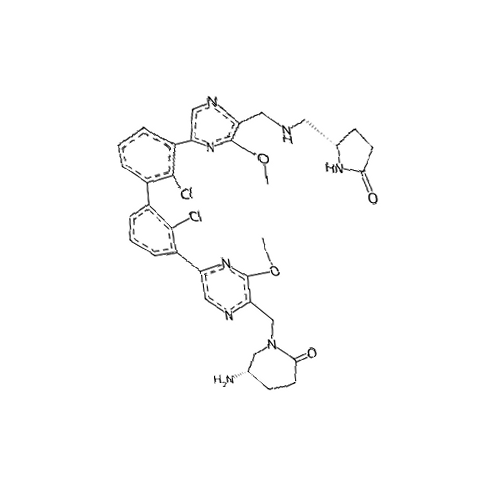 COc1nc(-c2cccc(-c3cccc(-c4cnc(CN5C[C@@H](N)CCC5=O)c(OC)n4)c3Cl)c2Cl)cnc1CNC[C@@H]1CCC(=O)N1